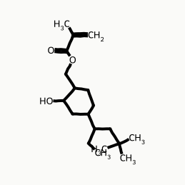 C=C(C)C(=O)OCC1CCC(C(CC)CC(C)(C)C)CC1O